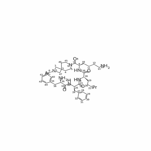 CC(=O)N1CC2(CCN(C(=O)[C@@H](CCCCN)NC(=O)[C@@H](CCC(C)C)NC(=O)[C@@H](Cc3ccccc3)NC(=O)[C@H](N)Cc3ccccc3)CC2)C1